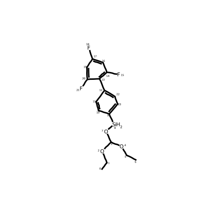 CCOC(OCC)O[SiH2]c1ccc(-c2c(F)cc(F)cc2F)cc1